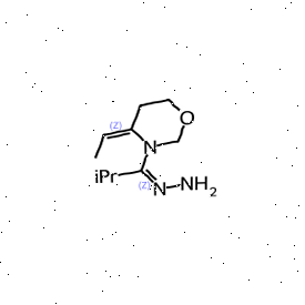 C/C=C1/CCOCN1/C(=N\N)C(C)C